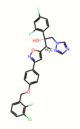 C[C@@H](c1cc(-c2ccc(OCc3cccc(Cl)c3F)cc2)no1)[C@](O)(Cn1cncn1)c1ccc(F)cc1F